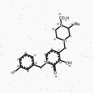 CC(C)(C)C1CN(Cc2ccn(Cc3cccc(F)c3)c(=O)c2O)CCN1C(=O)O